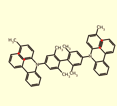 Cc1ccc(N(c2cc(C)c(-c3c(C)cc(N(c4ccc(C)cc4)c4ccccc4-c4ccccc4)cc3C)c(C)c2)c2ccccc2-c2ccccc2)cc1